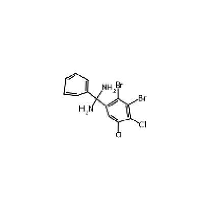 NC(N)(c1ccccc1)c1cc(Cl)c(Cl)c(Br)c1Br